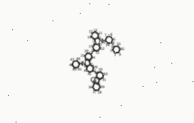 c1ccc(-c2cccc(-n3c4ccccc4c4cc(-c5ccc6c(c5)c5cc(-c7cccc8c7oc7ccccc78)ccc5n6-c5ccccc5)ccc43)c2)cc1